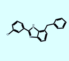 Clc1cccc(-c2nc3cccc(Cc4ccccc4)c3[nH]2)c1